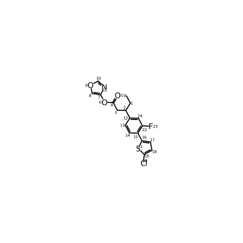 CCC(CC(=O)Oc1cocn1)c1ccc(-c2ccc(Cl)s2)c(F)c1